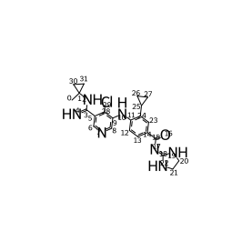 CC1(NC(=N)c2cncc(Nc3ccc(C(=O)N=C4NCCN4)cc3C3CC3)c2Cl)CC1